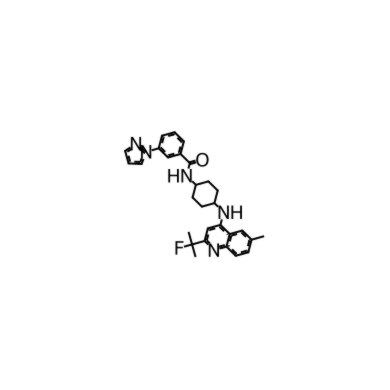 Cc1ccc2nc(C(C)(C)F)cc(NC3CCC(NC(=O)c4cccc(-n5cccn5)c4)CC3)c2c1